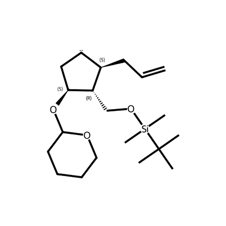 C=CC[C@@H]1[C]C[C@H](OC2CCCCO2)[C@H]1CO[Si](C)(C)C(C)(C)C